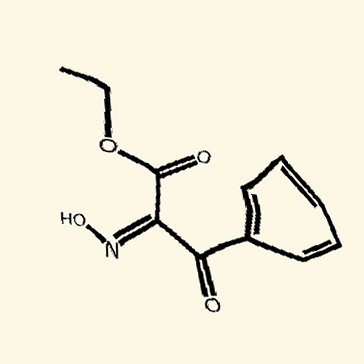 CCOC(=O)/C(=N\O)C(=O)c1ccccc1